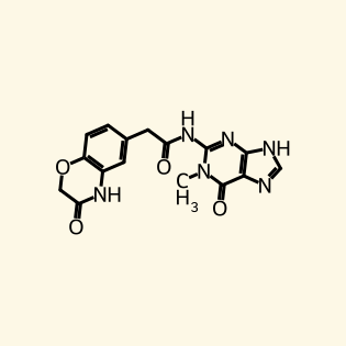 Cn1c(NC(=O)Cc2ccc3c(c2)NC(=O)CO3)nc2[nH]cnc2c1=O